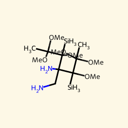 COC(C)(OC)C([SiH3])(OC)C(N)(CN)C([SiH3])(OC)C(C)(OC)OC